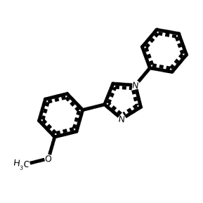 COc1cccc(-c2cn(-c3ccccc3)cn2)c1